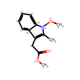 COC(=O)Cc1c(C)n(OC)c2ccccc12